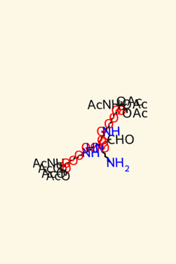 CC(=O)NC1C(OCCOCCOCCNC(=O)CCOCC(COCCC=O)(COCCC(=O)NCCOCCOCCOC2OC(COC(C)=O)C(OC(C)=O)C(OC(C)=O)C2NC(C)=O)NC(=O)CCCCCN)OC(COC(C)=O)C(OC(C)=O)C1OC(C)=O